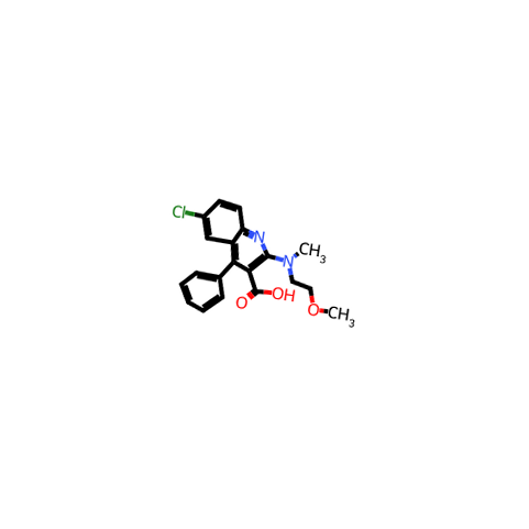 COCCN(C)c1nc2ccc(Cl)cc2c(-c2ccccc2)c1C(=O)O